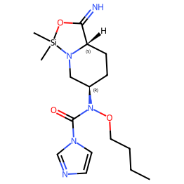 CCCCON(C(=O)n1ccnc1)[C@@H]1CC[C@H]2C(=N)O[Si](C)(C)N2C1